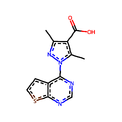 Cc1nn(-c2ncnc3sccc23)c(C)c1C(=O)O